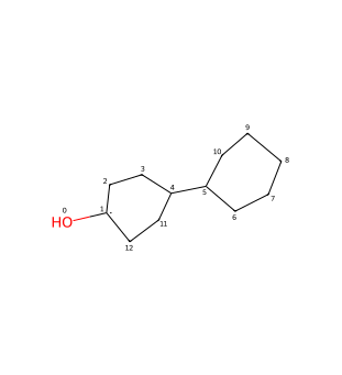 O[C]1CCC(C2CCCCC2)CC1